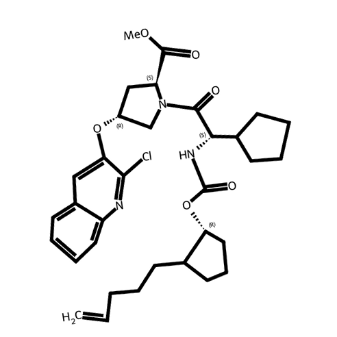 C=CCCCC1CCC[C@H]1OC(=O)N[C@H](C(=O)N1C[C@H](Oc2cc3ccccc3nc2Cl)C[C@H]1C(=O)OC)C1CCCC1